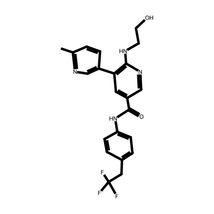 Cc1ccc(-c2cc(C(=O)Nc3ccc(CC(F)(F)F)cc3)cnc2NCCO)cn1